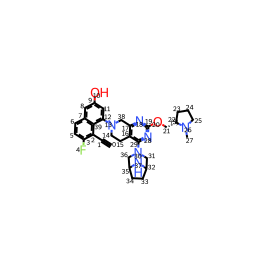 C#Cc1c(F)ccc2cc(O)cc(N3CCc4c(nc(OC[C@@H]5CCCN5C)nc4N4CC5CCC(C4)N5)C3)c12